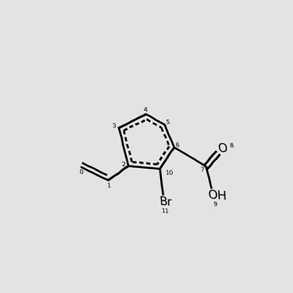 C=Cc1cccc(C(=O)O)c1Br